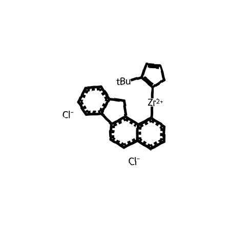 CC(C)(C)C1=[C]([Zr+2][c]2cccc3ccc4c(c23)Cc2ccccc2-4)CC=C1.[Cl-].[Cl-]